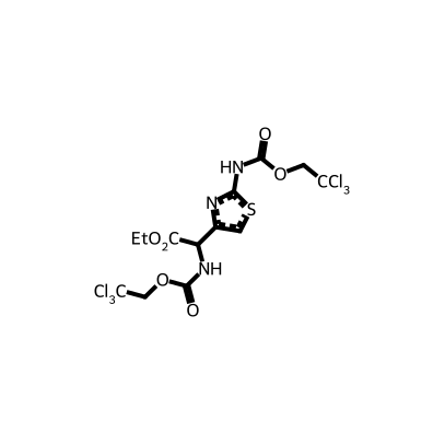 CCOC(=O)C(NC(=O)OCC(Cl)(Cl)Cl)c1csc(NC(=O)OCC(Cl)(Cl)Cl)n1